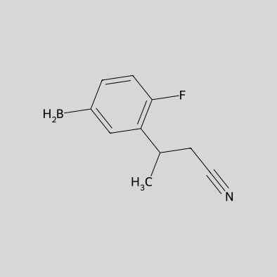 Bc1ccc(F)c(C(C)CC#N)c1